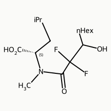 CCCCCCC(O)C(F)(F)C(=O)N(C)[C@@H](CC(C)C)C(=O)O